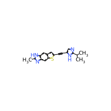 Cc1nc2cc3sc(C#Cc4cnc(C(C)C)[nH]4)cc3cc2[nH]1